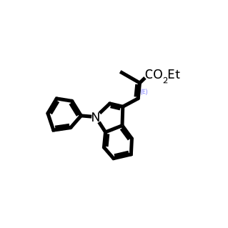 CCOC(=O)/C(C)=C/c1cn(-c2ccccc2)c2ccccc12